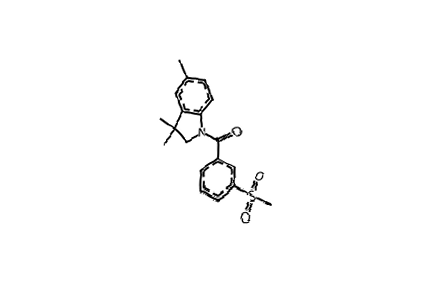 Cc1ccc2c(c1)C(C)(C)CN2C(=O)c1cccc(S(C)(=O)=O)c1